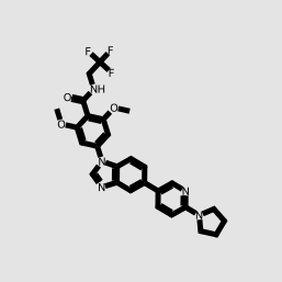 COc1cc(-n2cnc3cc(-c4ccc(N5CCCC5)nc4)ccc32)cc(OC)c1C(=O)NCC(F)(F)F